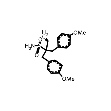 C=CC(Cc1ccc(OC)cc1)(Cc1ccc(OC)cc1)S(N)(=O)=O